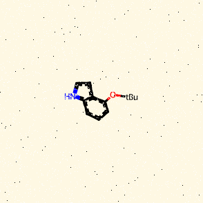 CC(C)(C)Oc1cccc2[nH]ccc12